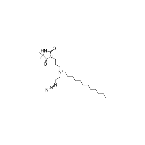 CCCCCCCCCCCC[N+](C)(CCCN1C(=O)NC(C)(C)C1=O)CCN=[N+]=[N-]